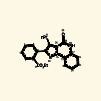 CCCc1c(-c2ccccc2C(=O)OCC)nc2c3ccccc3[nH]c(=O)n12